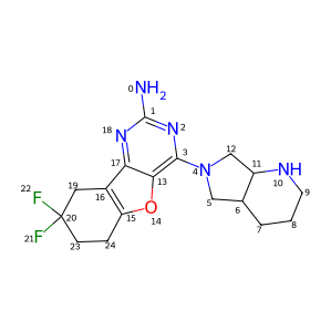 Nc1nc(N2CC3CCCNC3C2)c2oc3c(c2n1)CC(F)(F)CC3